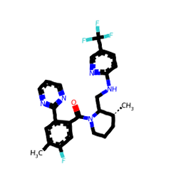 Cc1cc(-c2ncccn2)c(C(=O)N2CCC[C@@H](C)C2CNc2ccc(C(F)(F)F)cn2)cc1F